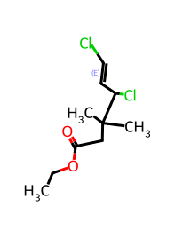 CCOC(=O)CC(C)(C)C(Cl)/C=C/Cl